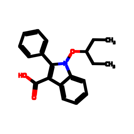 CCC(CC)On1c(-c2ccccc2)c(C(=O)O)c2ccccc21